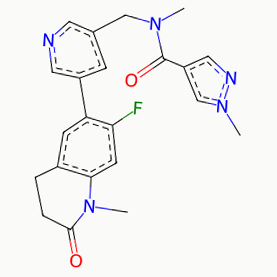 CN(Cc1cncc(-c2cc3c(cc2F)N(C)C(=O)CC3)c1)C(=O)c1cnn(C)c1